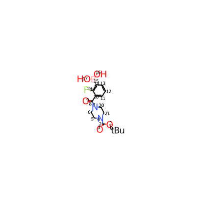 CC(C)(C)OC(=O)N1CCN(C(=O)c2cccc(B(O)O)c2F)CC1